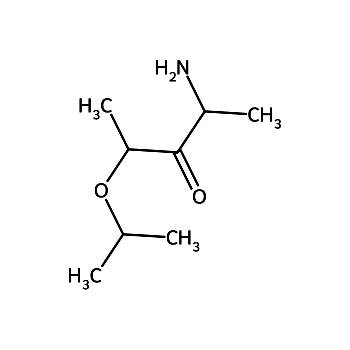 CC(C)OC(C)C(=O)C(C)N